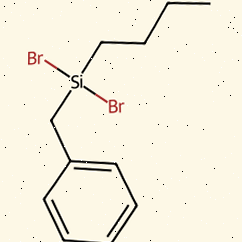 CCCC[Si](Br)(Br)Cc1ccccc1